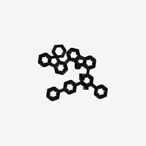 c1ccc(-c2ccc(-c3nc(-c4ccccc4)cc(-c4cccc5c4oc4c(-c6cccc7c6C6(CCCCC6)c6ccccc6-7)cccc45)n3)cc2)cc1